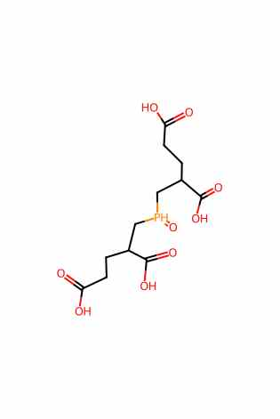 O=C(O)CCC(C[PH](=O)CC(CCC(=O)O)C(=O)O)C(=O)O